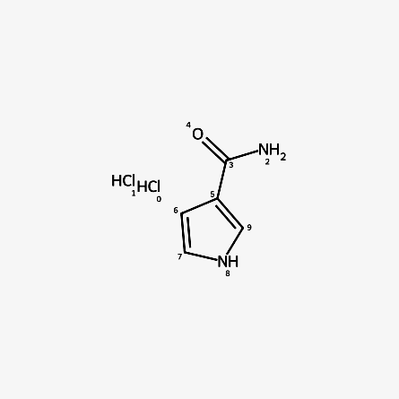 Cl.Cl.NC(=O)c1cc[nH]c1